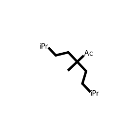 CC(=O)C(C)(CCC(C)C)CCC(C)C